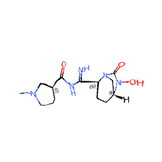 CN1CC[C@H](C(=O)NC(=N)[C@@H]2CC[C@@H]3CN2C(=O)N3O)C1